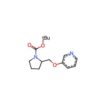 CC(C)(C)OC(=O)N1CCCC1COc1cccnc1